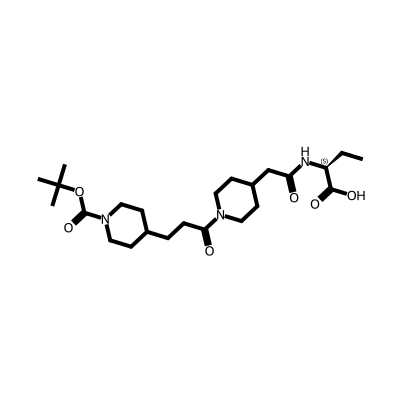 CC[C@H](NC(=O)CC1CCN(C(=O)CCC2CCN(C(=O)OC(C)(C)C)CC2)CC1)C(=O)O